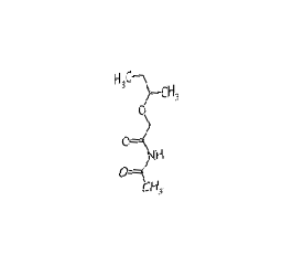 CCC(C)OCC(=O)NC(C)=O